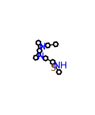 c1ccc(-c2ccc(-n3c4ccccc4c4cc5c6ccccc6n(-c6ccc(-c7ccc8c(c7)SC(c7ccccc7)N8)cc6)c5cc43)cc2)cc1